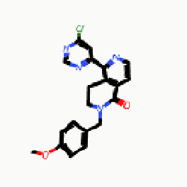 COc1ccc(CN2CCc3c(ccnc3-c3cc(Cl)ncn3)C2=O)cc1